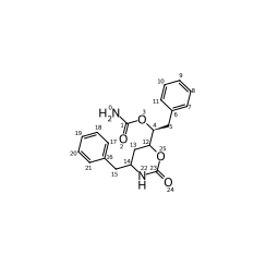 NC(=O)O[C@@H](Cc1ccccc1)C1CC(Cc2ccccc2)NC(=O)O1